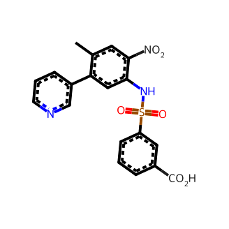 Cc1cc([N+](=O)[O-])c(NS(=O)(=O)c2cccc(C(=O)O)c2)cc1-c1cccnc1